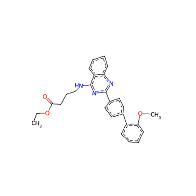 CCOC(=O)CCCNc1nc(-c2ccc(-c3ccccc3OC)cc2)nc2ccccc12